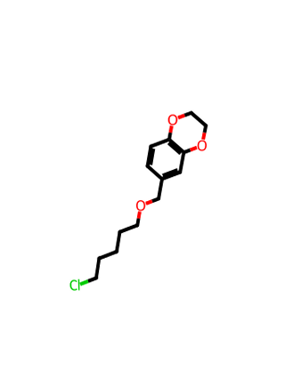 ClCCCCCOCc1ccc2c(c1)OCCO2